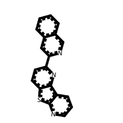 c1ccc2cc(-c3ccc4sc5ncccc5c4n3)ncc2c1